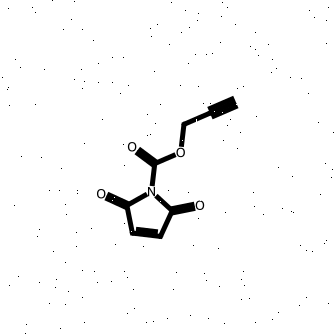 C#CCOC(=O)N1C(=O)C=CC1=O